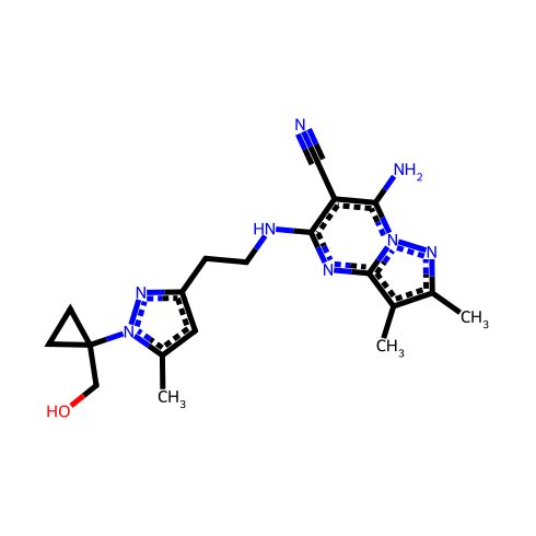 Cc1nn2c(N)c(C#N)c(NCCc3cc(C)n(C4(CO)CC4)n3)nc2c1C